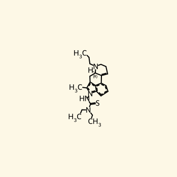 CCCN1CCC=C2c3cccc4c3c(c(C)n4NC(=S)N(CC)CC)C[C@H]21